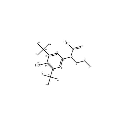 C=[N+]([O-])C(CCC)c1cc(C(C)(C)C)c(O)c(C(C)(C)C)c1